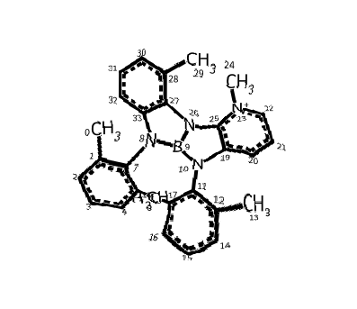 Cc1cccc(C)c1N1B2N(c3c(C)cccc3C)c3ccc[n+](C)c3N2c2c(C)cccc21